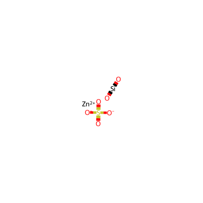 O=S(=O)([O-])[O-].O=[Si]=O.[Zn+2]